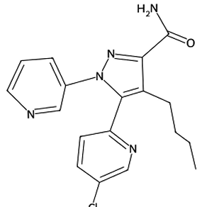 CCCCc1c(C(N)=O)nn(-c2cccnc2)c1-c1ccc(Cl)cn1